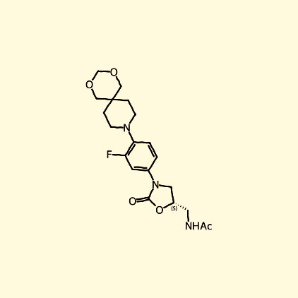 CC(=O)NC[C@H]1CN(c2ccc(N3CCC4(CC3)COCOC4)c(F)c2)C(=O)O1